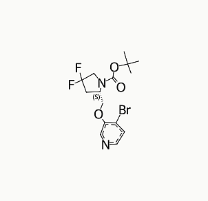 CC(C)(C)OC(=O)N1CC(F)(F)C[C@H]1COc1cnccc1Br